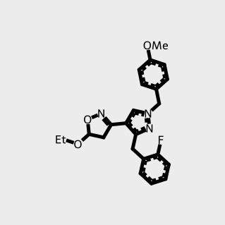 CCOC1CC(c2cn(Cc3ccc(OC)cc3)nc2Cc2ccccc2F)=NO1